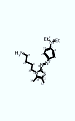 CCN(CC)c1ccc(/N=N/C2SC(C)=C(C)N2CCCCN)cc1